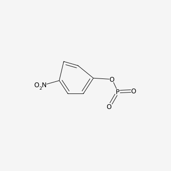 O=[N+]([O-])c1ccc(OP(=O)=O)cc1